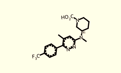 Cc1cc(N(C)[C@@H]2CCCN(C(=O)O)C2)nnc1-c1ccc(C(F)(F)F)cc1